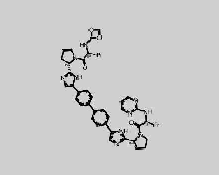 CC(C)[C@H](Nc1ncccn1)C(=O)N1CCC[C@H]1c1ncc(-c2ccc(-c3ccc(-c4cnc([C@@H]5CCCN5C(=O)[C@@H](NC5OCO5)C(C)C)[nH]4)cc3)cc2)[nH]1